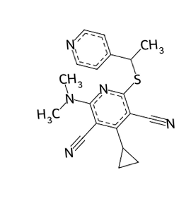 CC(Sc1nc(N(C)C)c(C#N)c(C2CC2)c1C#N)c1ccncc1